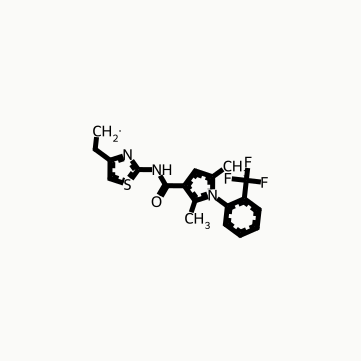 [CH2]Cc1csc(NC(=O)c2cc(C)n(-c3ccccc3C(F)(F)F)c2C)n1